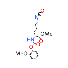 COC(=O)C(CCCCN=C=O)NC(=O)Oc1ccccc1OC